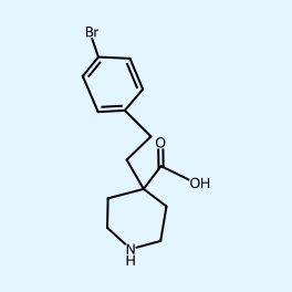 O=C(O)C1(CCc2ccc(Br)cc2)CCNCC1